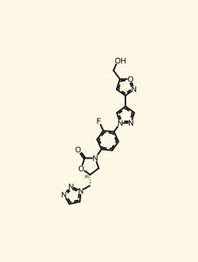 O=C1O[C@@H](Cn2ccnn2)CN1c1ccc(-n2cc(-c3cc(CO)on3)cn2)c(F)c1